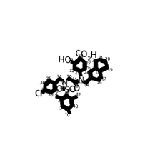 Cc1cc(C)c(S(=O)(=O)N(CC(=O)N(Cc2ccc3ccccc3c2)c2ccc(C(=O)O)c(O)c2)Cc2ccc(Cl)cc2)c(C)c1